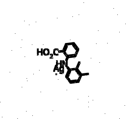 Cc1cccc(Nc2ccccc2C(=O)O)c1C.[Ag]